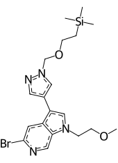 COCCn1cc(-c2cnn(COCC[Si](C)(C)C)c2)c2cc(Br)ncc21